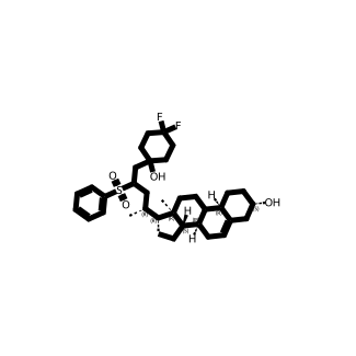 C[C@H](CC(CC1(O)CCC(F)(F)CC1)S(=O)(=O)c1ccccc1)[C@H]1CC[C@H]2[C@@H]3CC=C4C[C@@H](O)CC[C@@H]4C3CC[C@]12C